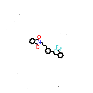 O=C1c2ccccc2C(=O)N1CCCc1cccc(C=Cc2ccccc2C(F)(F)F)c1